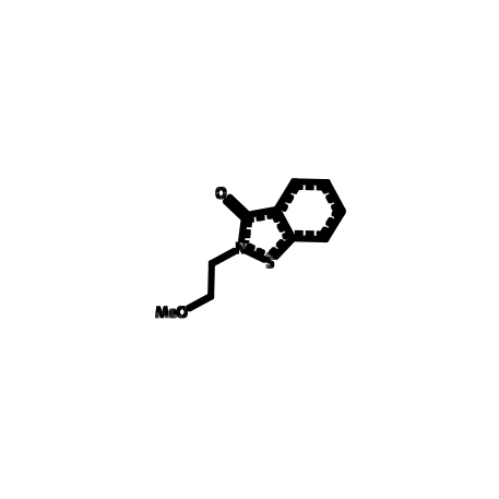 COCCn1sc2ccccc2c1=O